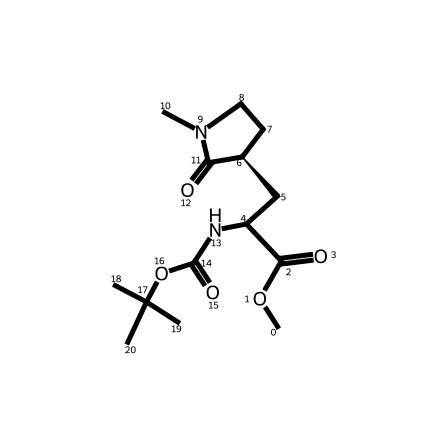 COC(=O)C(C[C@@H]1CCN(C)C1=O)NC(=O)OC(C)(C)C